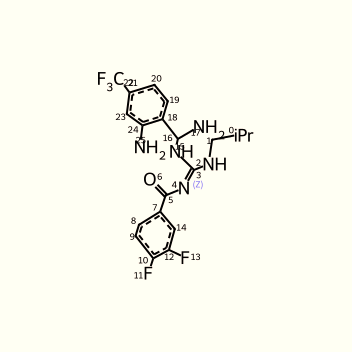 CC(C)CN/C(=N/C(=O)c1ccc(F)c(F)c1)NC(N)c1ccc(C(F)(F)F)cc1N